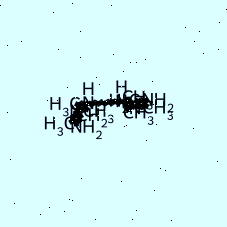 C=C1C=C(N)C(C)=C/C1=N/c1cc(C)c(NCCCCCCCCCNc2cc(C)c(/N=C3/C=C(C)C(N)=CC3=C)cc2C)cc1C